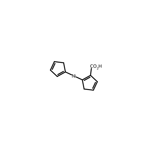 O=C(O)C1=[C]([Ni][C]2=CC=CC2)CC=C1